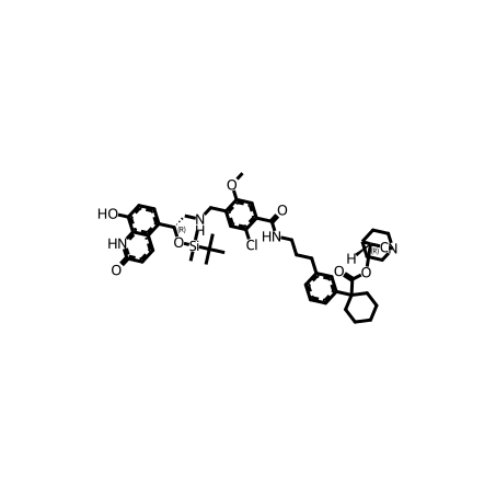 COc1cc(C(=O)NCCCc2cccc(C3(C(=O)O[C@H]4CN5CCC4CC5)CCCCC3)c2)c(Cl)cc1CNC[C@H](O[Si](C)(C)C(C)(C)C)c1ccc(O)c2[nH]c(=O)ccc12